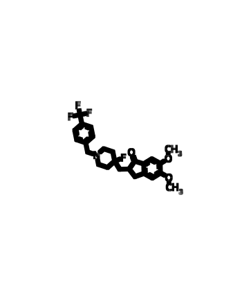 COc1cc2c(cc1OC)C(=O)C(CC1(F)CCN(Cc3ccc(C(F)(F)F)cc3)CC1)C2